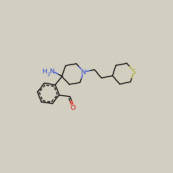 NC1(c2ccccc2C=O)CCN(CCC2CCSCC2)CC1